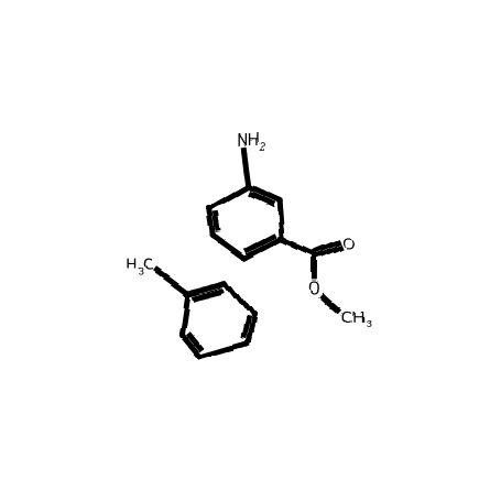 COC(=O)c1cccc(N)c1.Cc1ccccc1